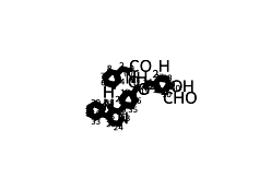 N[C@@H](Cc1ccccc1)C(=O)O.O=Cc1cc(COC(=O)c2ccc(C3=NCCc4c3[nH]c3ccccc43)cc2)ccc1O